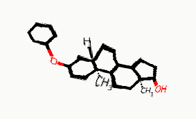 C[C@]12CCC3C(CC[C@H]4CC(OC5CCCCC5)CC[C@]34C)C1CCC2O